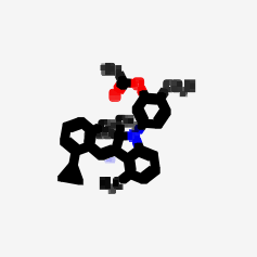 COC1(C)/C(=C\c2c(C)cccc2C2CC2)c2c(C)cccc2N1c1ccc(C(=O)O)c(OC(=O)C(C)(C)C)c1